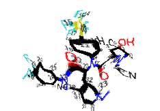 C[C@@]1(O)C[C@H](C(=O)N(c2ccc(S(F)(F)(F)(F)F)cc2)C(C(=O)NC2CCC(F)(F)CC2)c2cnccc2C#N)N(C#N)C1